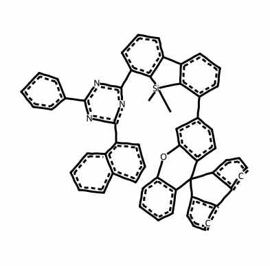 C[Si]1(C)c2c(-c3ccc4c(c3)Oc3ccccc3C43c4ccccc4-c4ccccc43)cccc2-c2cccc(-c3nc(-c4ccccc4)nc(-c4cccc5ccccc45)n3)c21